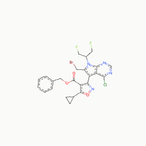 O=C(OCc1ccccc1)c1c(-c2c(CBr)n(C(CF)CF)c3ncnc(Cl)c23)noc1C1CC1